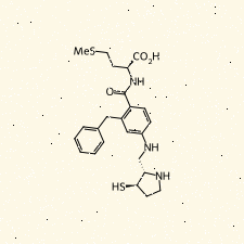 CSCC[C@H](NC(=O)c1ccc(NC[C@@H]2NCC[C@H]2S)cc1Cc1ccccc1)C(=O)O